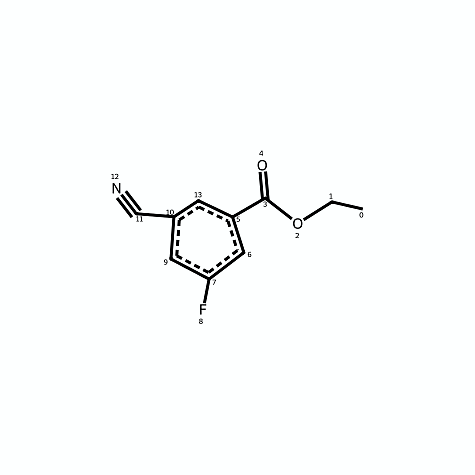 CCOC(=O)c1cc(F)cc(C#N)c1